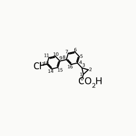 O=C(O)C1CC1c1cccc(-c2ccc(Cl)cc2)c1